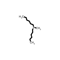 CCCCCCP(C)CCCCCC